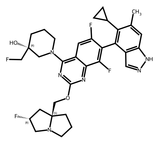 Cc1cc2[nH]ncc2c(-c2c(F)cc3c(N4CCC[C@](O)(CF)C4)nc(OC[C@@]45CCCN4C[C@H](F)C5)nc3c2F)c1C1CC1